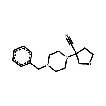 N#CC1(N2CCN(Cc3ccccc3)CC2)CCOC1